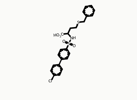 O=C(O)C(CCSCc1ccccc1)NS(=O)(=O)c1ccc(-c2ccc(Cl)cc2)cc1